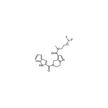 CN(CCOC(F)F)C(=O)c1cnn2c1CN(C(=O)c1cc3ccccc3[nH]1)CC2